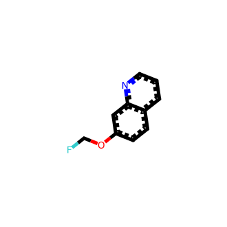 FCOc1ccc2cccnc2c1